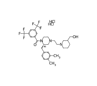 Cc1ccc(C[C@@H]2CN(CCN3CCCC(CO)C3)CCN2C(=O)c2cc(C(F)(F)F)cc(C(F)(F)F)c2)cc1C.Cl.Cl